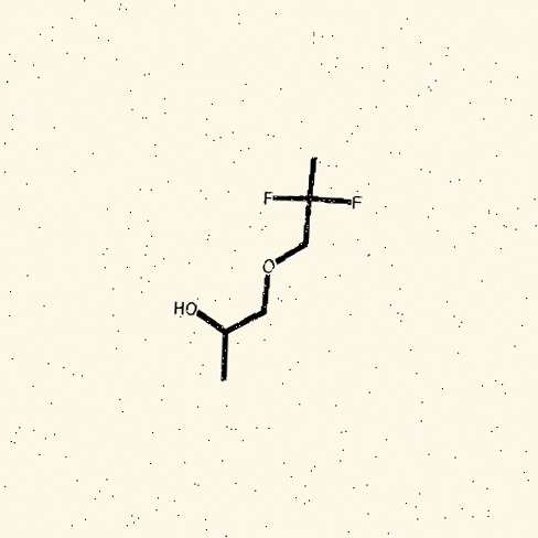 CC(O)COCC(C)(F)F